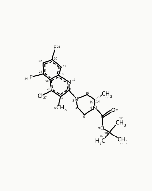 Cc1c(N2CCN(C(=O)OC(C)(C)C)[C@@H](C)C2)nc2cc(F)cc(F)c2c1Cl